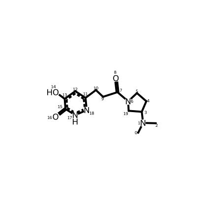 CN(C)C1CCN(C(=O)CCc2cc(O)c(=O)[nH]n2)C1